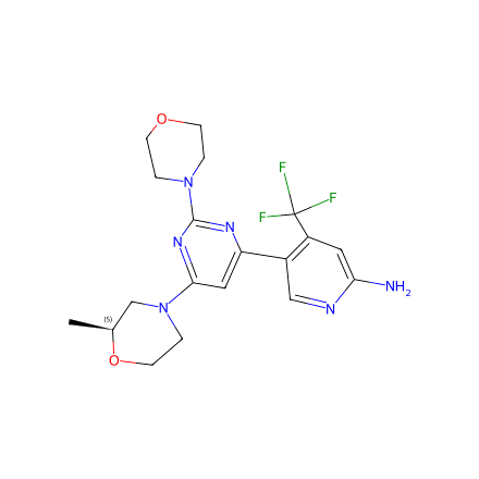 C[C@H]1CN(c2cc(-c3cnc(N)cc3C(F)(F)F)nc(N3CCOCC3)n2)CCO1